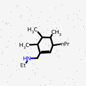 CCCC1C=C(CNCC)C(C)C(C)C1C